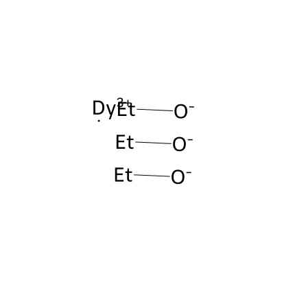 CC[O-].CC[O-].CC[O-].[Dy+3]